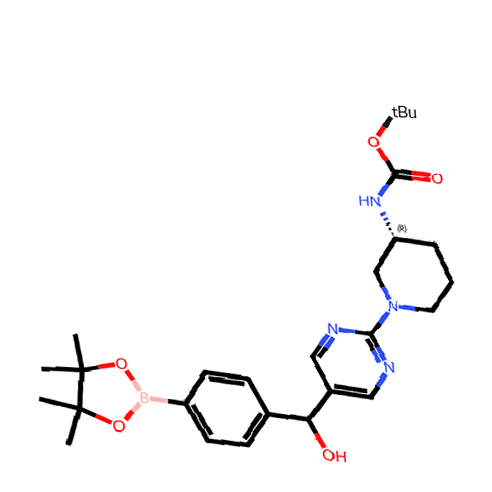 CC(C)(C)OC(=O)N[C@@H]1CCCN(c2ncc(C(O)c3ccc(B4OC(C)(C)C(C)(C)O4)cc3)cn2)C1